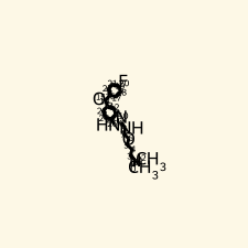 CN(C)CCCOCNc1nc2cc(C(=O)c3ccc(F)cc3)ccc2[nH]1